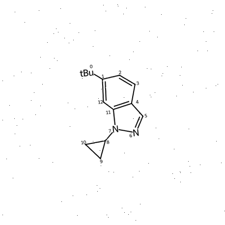 CC(C)(C)c1ccc2cnn(C3CC3)c2c1